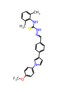 Cc1cccc(C)c1NC(=S)N/N=C/c1ccc(-c2ccn(-c3ccc(OC(F)(F)F)cc3)c2)cc1